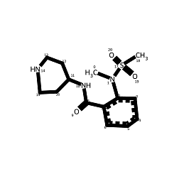 CN(c1ccccc1C(=O)NC1CCNCC1)S(C)(=O)=O